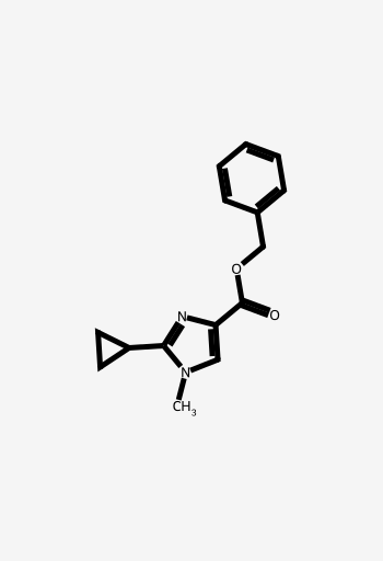 Cn1cc(C(=O)OCc2ccccc2)nc1C1CC1